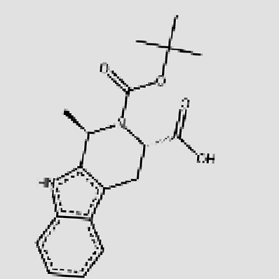 C[C@@H]1c2[nH]c3ccccc3c2C[C@@H](C(=O)O)N1C(=O)OC(C)(C)C